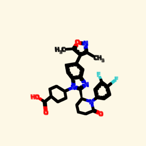 Cc1noc(C)c1-c1ccc2c(c1)nc([C@@H]1CCCC(=O)N1c1ccc(F)c(F)c1)n2C1CCC(C(=O)O)CC1